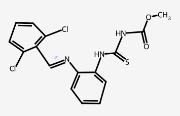 COC(=O)NC(=S)Nc1ccccc1/N=C/c1c(Cl)cccc1Cl